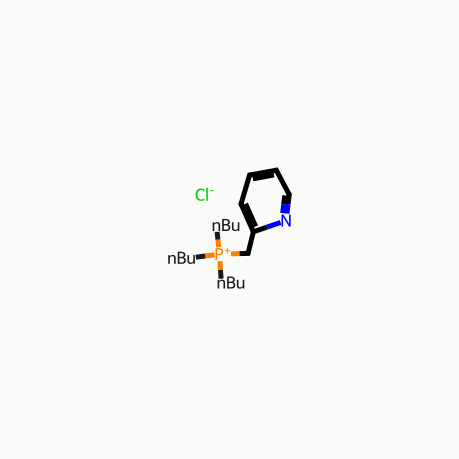 CCCC[P+](CCCC)(CCCC)Cc1ccccn1.[Cl-]